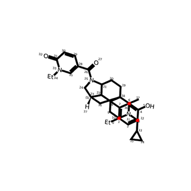 CCc1ccc(O)cc1C12CCN(CC3CC3)C(C)C13CCC1C2[C@@H](CN1C(=O)c1ccc(=O)n(CC)c1)C3